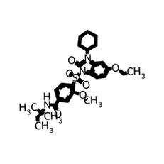 CCOc1ccc2c(c1)n(C1CCCCC1)c(=O)n2S(=O)(=O)c1ccc(C(=O)NC(C)(C)CC)cc1OC